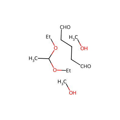 CCOC(C)OCC.CO.CO.O=CCCCC=O